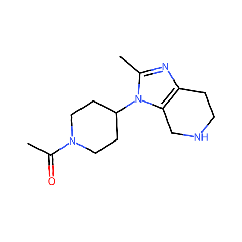 CC(=O)N1CCC(n2c(C)nc3c2CNCC3)CC1